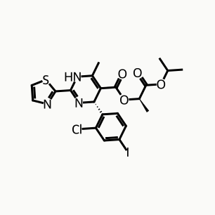 CC1=C(C(=O)O[C@H](C)C(=O)OC(C)C)[C@H](c2ccc(I)cc2Cl)N=C(c2nccs2)N1